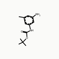 Cc1cc(N)cc(NC(=O)OC(C)(C)C)c1